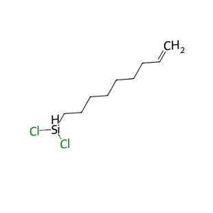 C=CCCCCCCC[SiH](Cl)Cl